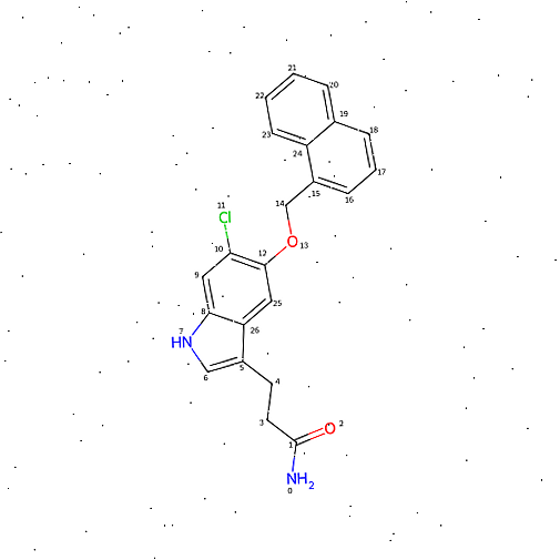 NC(=O)CCc1c[nH]c2cc(Cl)c(OCc3cccc4ccccc34)cc12